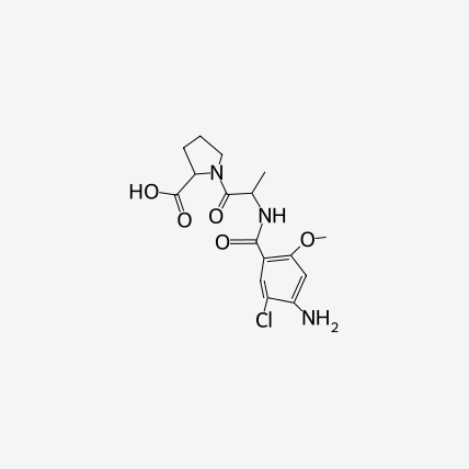 COc1cc(N)c(Cl)cc1C(=O)NC(C)C(=O)N1CCCC1C(=O)O